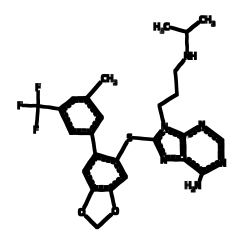 Cc1cc(-c2cc3c(cc2Sc2nc4c(N)ncnc4n2CCCNC(C)C)OCO3)cc(C(F)(F)F)c1